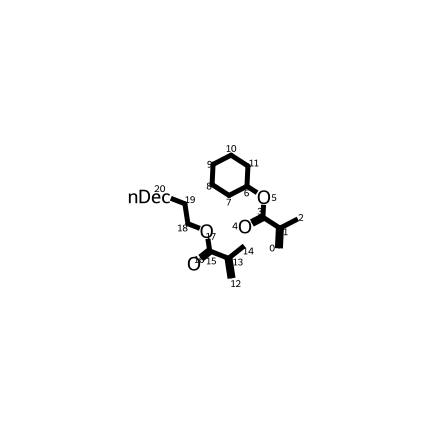 C=C(C)C(=O)OC1CCCCC1.C=C(C)C(=O)OCCCCCCCCCCCC